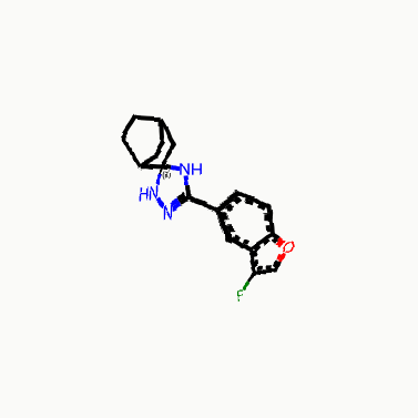 Fc1coc2ccc(C3=NN[C@@]4(CC5CCC4CC5)N3)cc12